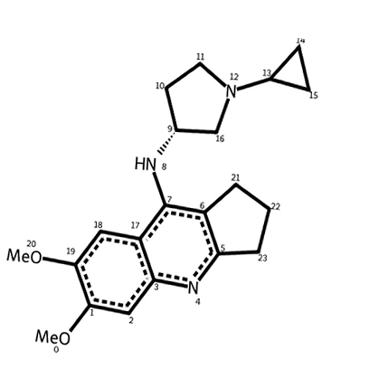 COc1cc2nc3c(c(N[C@@H]4CCN(C5CC5)C4)c2cc1OC)CCC3